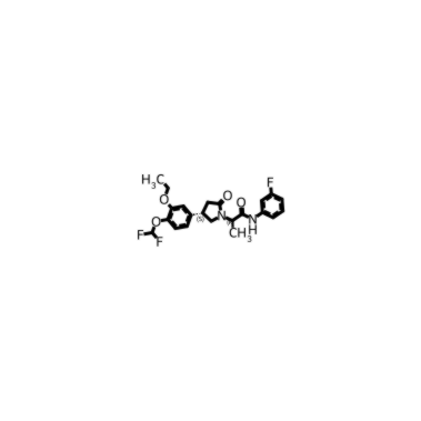 CCOc1cc([C@@H]2CC(=O)N([C@H](C)C(=O)Nc3cccc(F)c3)C2)ccc1OC(F)F